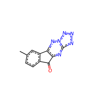 Cc1ccc2c(c1)-c1nn3nnnc3nc1C2=O